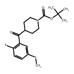 CSc1ccc(F)c(C(=O)C2CCN(C(=O)OC(C)(C)C)CC2)c1